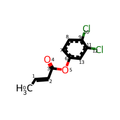 CC=CC(=O)Oc1ccc(Cl)c(Cl)c1